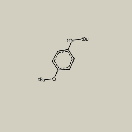 CC(C)(C)Nc1ccc(OC(C)(C)C)cc1